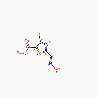 COC(=O)c1sc(C=NO)nc1C